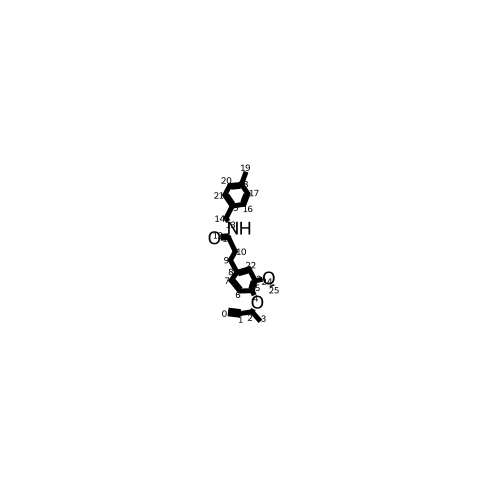 C#CC(C)Oc1ccc(CCC(=O)NCc2ccc(C)cc2)cc1OC